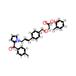 Cc1ccc(C(=O)c2cccn2C/C=C/c2ccc(CO[C@@H](Cc3ccccc3)C(=O)O)cc2)cc1